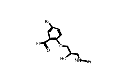 CCC(=O)c1cc(Br)ccc1OCC(O)CNC(C)C